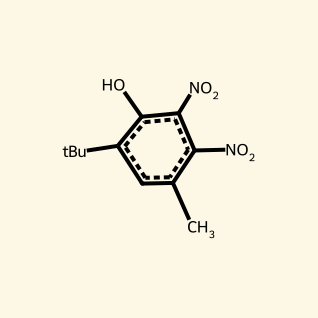 Cc1cc(C(C)(C)C)c(O)c([N+](=O)[O-])c1[N+](=O)[O-]